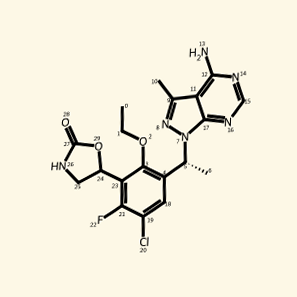 CCOc1c([C@@H](C)n2nc(C)c3c(N)ncnc32)cc(Cl)c(F)c1C1CNC(=O)O1